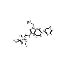 CC(C)Cn1cc(CCS(=O)(=O)N(C)C)c2ccc(-c3ccccc3)cc21